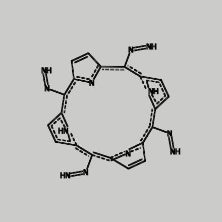 N=Nc1c2nc(c(N=N)c3ccc([nH]3)c(N=N)c3nc(c(N=N)c4ccc1[nH]4)C=C3)C=C2